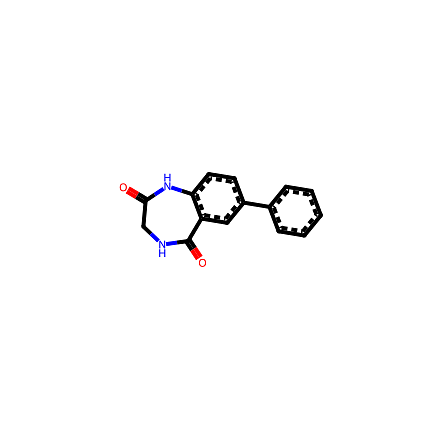 O=C1CNC(=O)c2cc(-c3ccccc3)ccc2N1